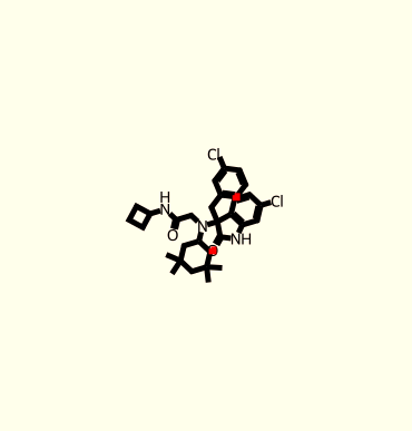 CC1(C)CC(N(CC(=O)NC2CCC2)C2(Cc3cccc(Cl)c3)C(=O)Nc3cc(Cl)ccc32)CC(C)(C)C1